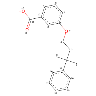 CC(C)(CCOc1cccc(C(=O)O)c1)c1ccccc1